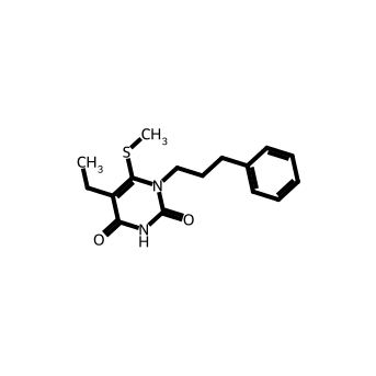 CCc1c(SC)n(CCCc2ccccc2)c(=O)[nH]c1=O